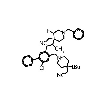 CC(Cc1cc(-c2ccccc2)c(Cl)cc1CN1CCC(CC#N)(C(C)(C)C)CC1)[C@@]1(CC#N)CCN(Cc2ccccc2)C[C@@H]1F